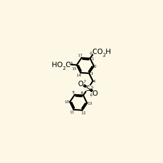 O=C(O)c1cc(CS(=O)(=O)c2ccccc2)cc(C(=O)O)c1